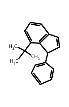 CC(C)(C)c1cccc2c1C(c1ccccc1)C=C2